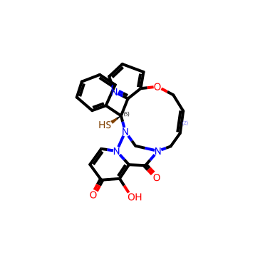 O=C1c2c(O)c(=O)ccn2N2CN1C/C=C\COc1cccnc1[C@@]2(S)c1ccccc1